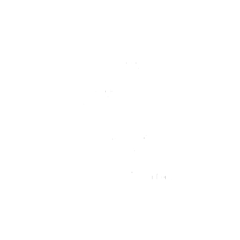 C=C(C)C(=O)OCC.C=C(C)C(=O)OCC.C=C(C)C(=O)OCCCCC